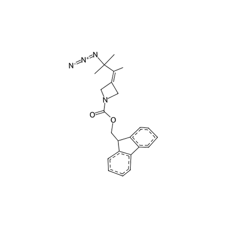 CC(=C1CN(C(=O)OCC2c3ccccc3-c3ccccc32)C1)C(C)(C)N=[N+]=[N-]